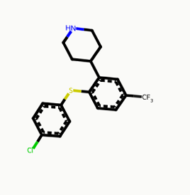 FC(F)(F)c1ccc(Sc2ccc(Cl)cc2)c(C2CCNCC2)c1